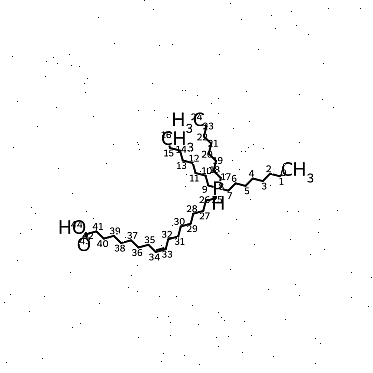 CCCCCCCC[PH](CCCCCCCC)(CCCCCCCC)CCCCCCCC/C=C\CCCCCCCC(=O)O